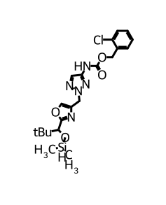 C[SiH](C)OC(c1nc(Cn2ncc(NC(=O)OCc3ccccc3Cl)n2)co1)C(C)(C)C